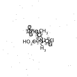 Cc1cc(CN(C(C)c2ccc(Cl)c(Cl)c2)[C@H]2C[C@@H](C(=O)O)C2)ccc1OCCN1C(=O)CCC1=O